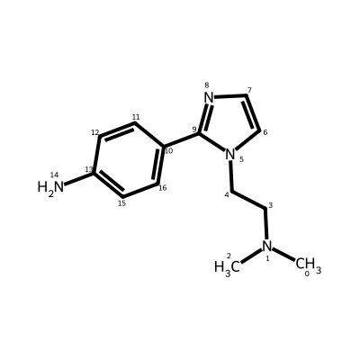 CN(C)CCn1ccnc1-c1ccc(N)cc1